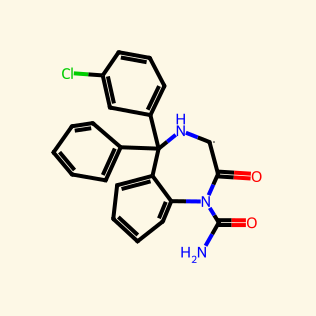 NC(=O)N1C(=O)[CH]NC(c2ccccc2)(c2cccc(Cl)c2)c2ccccc21